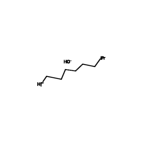 CC(C)CCCCC[CH2][Hf+].[OH-]